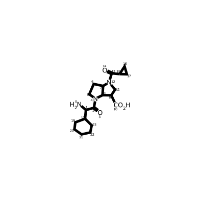 NC(C(=O)N1CCC2C1C(C(=O)O)CN2C(=O)C1CC1)C1CCCCC1